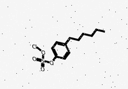 CCCCCCc1ccc(OS(=O)(=O)OCl)cc1